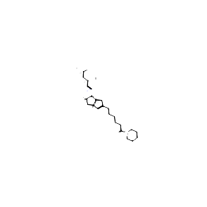 CCCC[C@H](C)C[C@H](O)/C=C/[C@@H]1[C@H]2CC(CCCCCC(=O)N3CCCCC3)=C[C@H]2C[C@H]1O